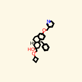 O[C@]1(COC2CCC2)CC[C@@]2(Cc3ccccc3)c3ccc(OCc4cccnc4)cc3CC[C@@H]2C1